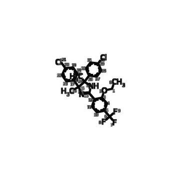 CCOc1cc(C(F)(F)F)ccc1C1=NC(C)(c2ccc(Cl)cc2)C(C)(c2ccc(Cl)cc2)N1